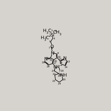 C[Si](C)(C)CCOCn1cc(-c2nccs2)c2c(N3CC[C@]4(CCCCN4)C3)ccnc21